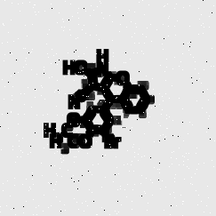 COc1cc(C2c3ccccc3Oc3[nH]c(O)c(C#N)c32)cc(Br)c1OC